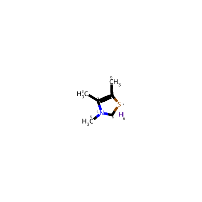 CC1=C(C)N(C)CS1.I